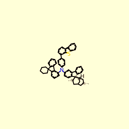 C[C@@H]1CC2C[C@@H](C1)[C@@]1(c3ccccc3-c3cc(N(c4ccc(-c5cccc6c5sc5ccccc56)cc4)c4cccc5c4-c4ccccc4C54CCCCC4)ccc31)[C@@H](C)C2